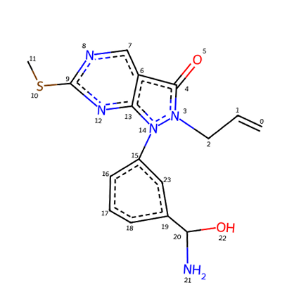 C=CCn1c(=O)c2cnc(SC)nc2n1-c1cccc(C(N)O)c1